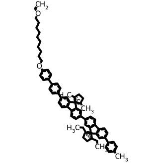 C=COCCCCCCCCCCOc1ccc(-c2ccc(-c3ccc4c(c3)C3(c5cc(-c6ccc7c(c6)C6(c8cc(-c9ccc(C)cc9)ccc8-7)C7(CC)CCC6(CC)CC7)ccc5-4)C4(C)CCC3(C)CC4)cc2)cc1